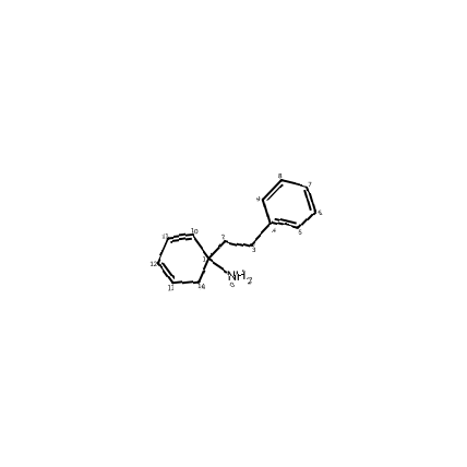 NC1(CCc2ccccc2)C=CC=CC1